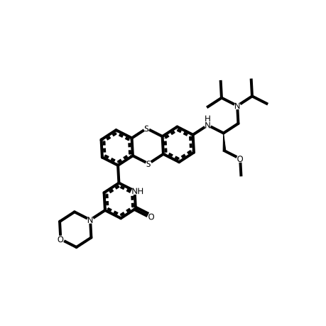 COC[C@H](CN(C(C)C)C(C)C)Nc1ccc2c(c1)Sc1cccc(-c3cc(N4CCOCC4)cc(=O)[nH]3)c1S2